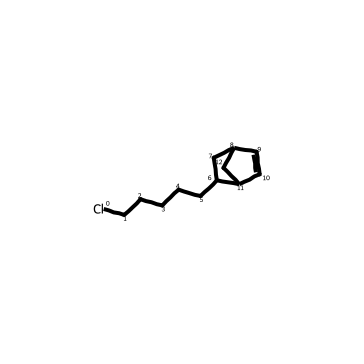 ClCCCCCC1CC2C=CC1C2